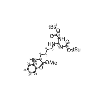 COC(=O)[C@H](CCCCNC(=NC(=O)OC(C)(C)C)NC(=O)OC(C)(C)C)Nc1ccccc1